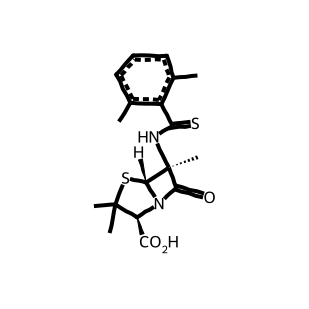 Cc1cccc(C)c1C(=S)N[C@@]1(C)C(=O)N2[C@@H](C(=O)O)C(C)(C)S[C@@H]21